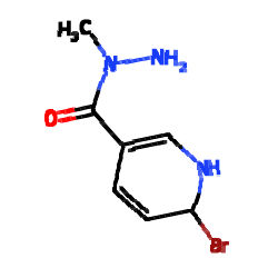 CN(N)C(=O)C1=CNC(Br)C=C1